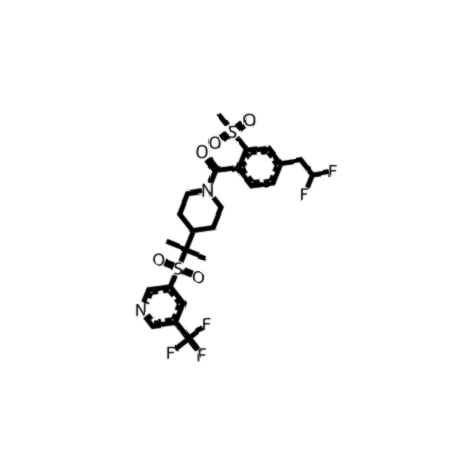 CC(C)(C1CCN(C(=O)c2ccc(CC(F)F)cc2S(C)(=O)=O)CC1)S(=O)(=O)c1cncc(C(F)(F)F)c1